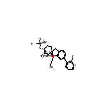 BC(B)(B)O[C@@H]1CC[C@]2(Cc3ccc(-c4cccnc4F)cc3[C@]23N=C(N)OC3(B)B)C[C@H]1C